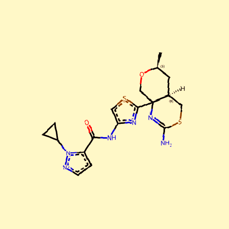 C[C@H]1C[C@H]2CSC(N)=NC2(c2nc(NC(=O)c3ccnn3C3CC3)cs2)CO1